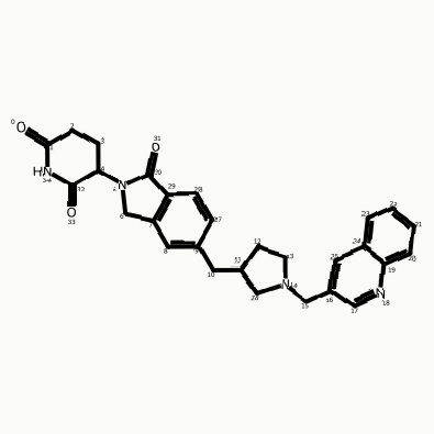 O=C1CCC(N2Cc3cc(CC4CCN(Cc5cnc6ccccc6c5)C4)ccc3C2=O)C(=O)N1